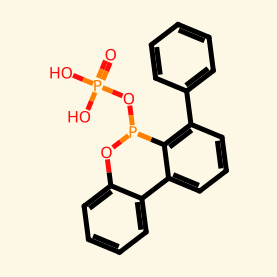 O=P(O)(O)OP1Oc2ccccc2-c2cccc(-c3ccccc3)c21